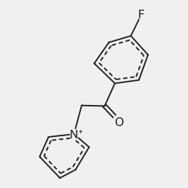 O=C(C[n+]1ccccc1)c1ccc(F)cc1